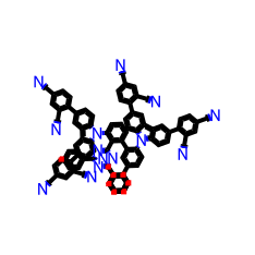 N#Cc1ccc(-c2ccc3c(c2)c2cc(-c4ccc(C#N)cc4C#N)ccc2n3-c2ccc(-c3ccccc3C#N)cc2-c2cccc(-n3c4ccc(-c5ccc(C#N)cc5C#N)cc4c4cc(-c5ccc(C#N)cc5C#N)ccc43)c2-c2nc(-c3ccccc3)nc(-c3ccccc3)n2)c(C#N)c1